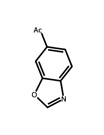 CC(=O)c1ccc2ncoc2c1